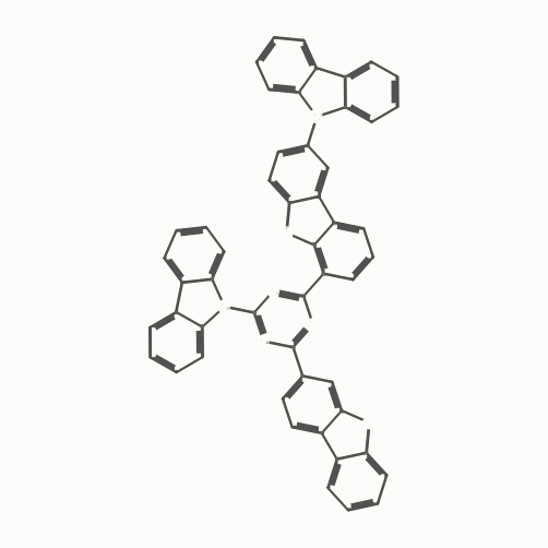 c1ccc2c(c1)oc1cc(-c3nc(-c4cccc5c4oc4ccc(-n6c7ccccc7c7ccccc76)cc45)nc(-n4c5ccccc5c5ccccc54)n3)ccc12